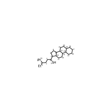 CCC(CCC(S)C1CCC2C1CCC1C3CCCCC3CCC12)C(C)C